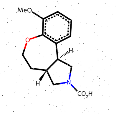 COc1cccc2c1OCC[C@H]1CN(C(=O)O)C[C@H]21